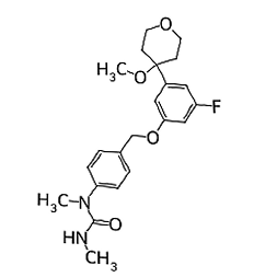 CNC(=O)N(C)c1ccc(COc2cc(F)cc(C3(OC)CCOCC3)c2)cc1